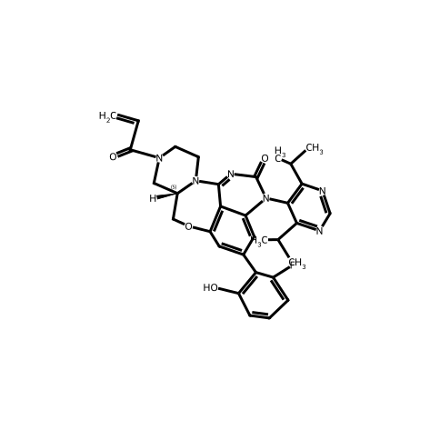 C=CC(=O)N1CCN2c3nc(=O)n(-c4c(C(C)C)ncnc4C(C)C)c4cc(-c5c(O)cccc5F)cc(c34)OC[C@@H]2C1